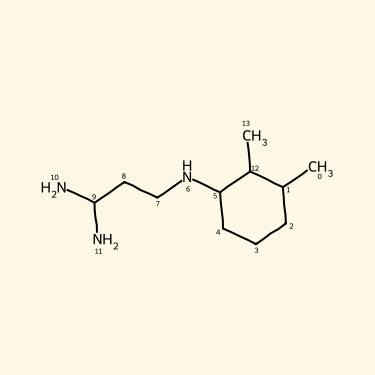 CC1CCCC(NCCC(N)N)C1C